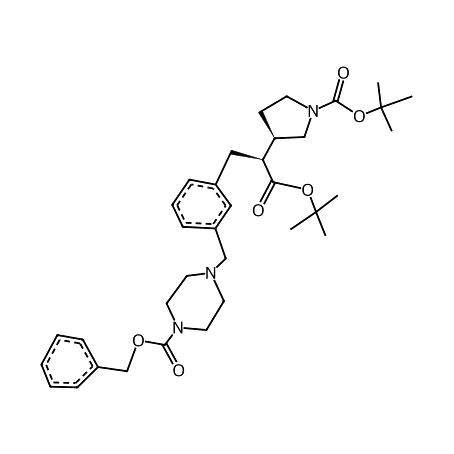 CC(C)(C)OC(=O)[C@@H](Cc1cccc(CN2CCN(C(=O)OCc3ccccc3)CC2)c1)[C@H]1CCN(C(=O)OC(C)(C)C)C1